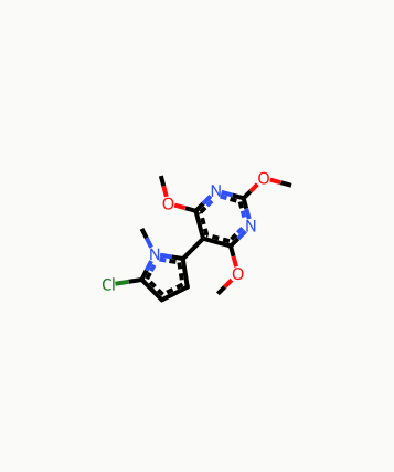 COc1nc(OC)c(-c2ccc(Cl)n2C)c(OC)n1